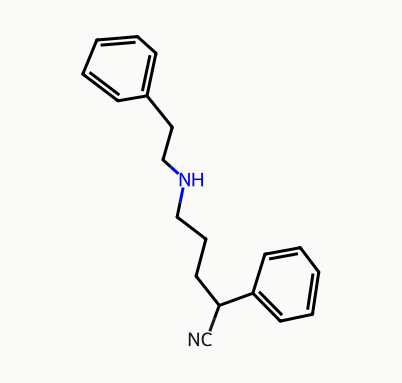 N#CC(CCCNCCc1ccccc1)c1ccccc1